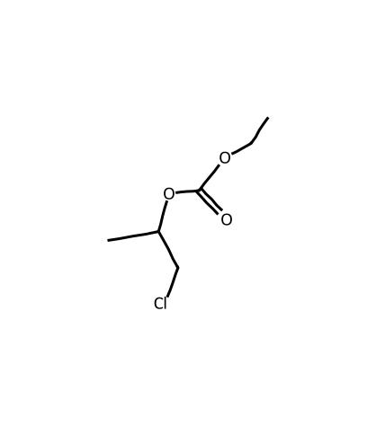 CCOC(=O)OC(C)CCl